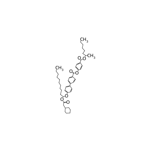 CCCCCCCCCCC(OC(=O)CC1CCCCC1)Oc1ccc(-c2ccc(C(=O)Oc3ccc(C(=O)OC(C)CCCCCC)cc3)cc2)cc1